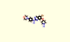 Brc1cc2cnc(Nc3ccc(N4CCOCC4)cc3)nc2cc1OC1CCNCC1